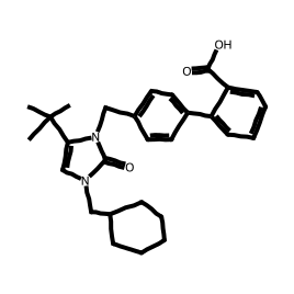 CC(C)(C)c1cn(CC2CCCCC2)c(=O)n1Cc1ccc(-c2ccccc2C(=O)O)cc1